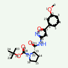 COc1cccc(-c2cc(NC(=O)[C@@H]3CCCN3C(=O)OC(C)(C)C)no2)c1